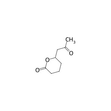 CC(=O)CC1CCCC(=O)O1